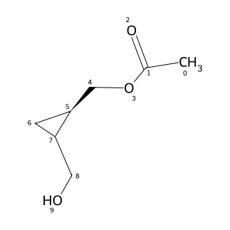 CC(=O)OC[C@@H]1CC1CO